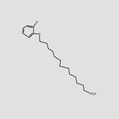 O=C(O)CCCCCCCCCCCCCOc1ccccc1Cl